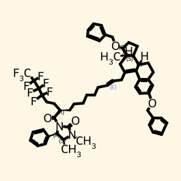 C[C@H]1[C@@H](c2ccccc2)N(C(=O)[C@H](CCCCCC/C=C/CC2=C3c4ccc(OCc5ccccc5)cc4CC[C@H]3[C@@H]3CC[C@H](OCc4ccccc4)[C@@]3(C)C2)CCC(F)(F)C(F)(F)C(F)(F)C(F)(F)F)C(=O)N1C